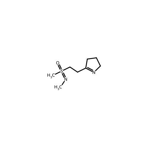 CN=S(C)(=O)CCC1=NCCC1